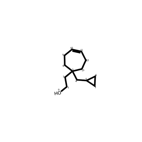 OCCC1(CC2CC2)CCC=CCC1